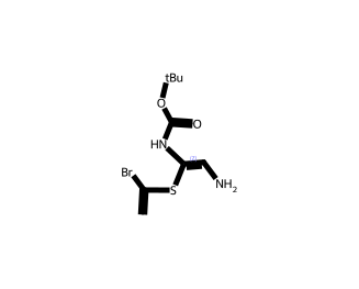 C=C(Br)S/C(=C\N)NC(=O)OC(C)(C)C